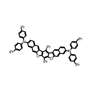 CC(C)c1ccc(N(c2ccc(C(C)C)cc2)c2ccc3cc4c(cc3c2)oc2c(C(C)C)c3oc5cc6cc(N(c7ccc(C(C)C)cc7)c7ccc(C(C)C)cc7)ccc6cc5c3c(C(C)C)c24)cc1